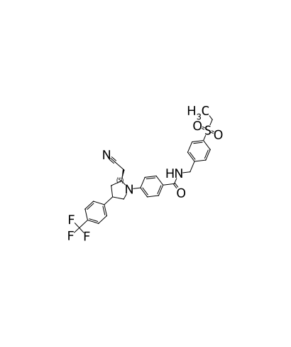 CCS(=O)(=O)c1ccc(CNC(=O)c2ccc(N3CC(c4ccc(C(F)(F)F)cc4)C[C@H]3CC#N)cc2)cc1